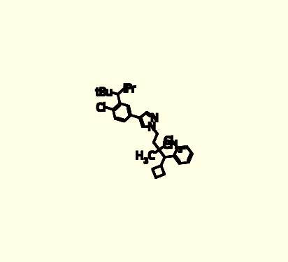 CC(C)C(c1cc(-c2cnn(CCC(C)(C)C(c3ccccc3Cl)C3CCC3)c2)ccc1Cl)C(C)(C)C